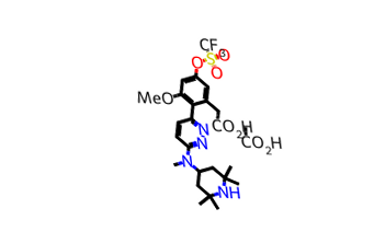 CC(=O)O.COc1cc(OS(=O)(=O)C(F)(F)F)cc(CC(=O)O)c1-c1ccc(N(C)C2CC(C)(C)NC(C)(C)C2)nn1